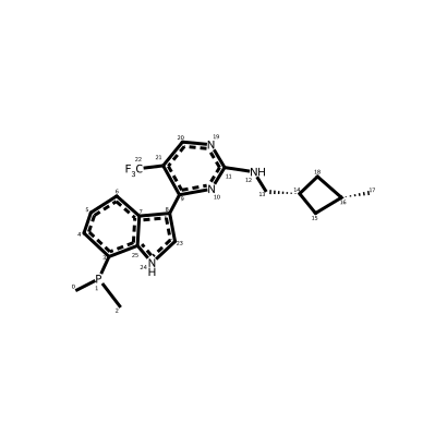 CP(C)c1cccc2c(-c3nc(NC[C@H]4C[C@@H](C)C4)ncc3C(F)(F)F)c[nH]c12